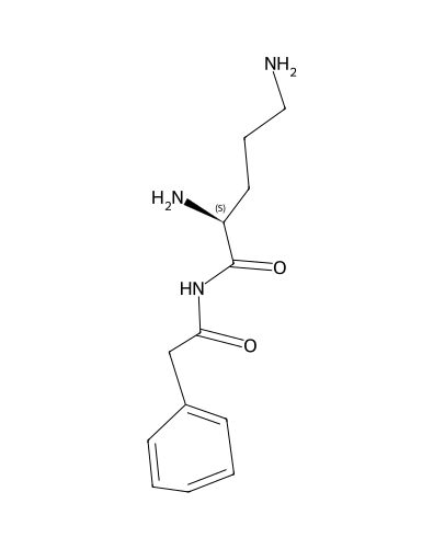 NCCC[C@H](N)C(=O)NC(=O)Cc1ccccc1